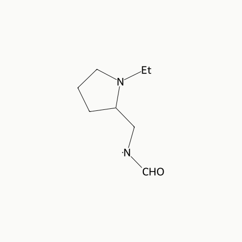 CCN1CCCC1C[N]C=O